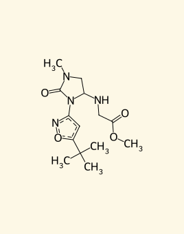 COC(=O)CNC1CN(C)C(=O)N1c1cc(C(C)(C)C)on1